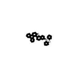 c1ccc2c(c1)Sc1ccccc1N2c1ccc2c(ccc3c2sc2ccc4c5ccccc5c5ccccc5c4c23)c1